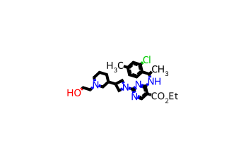 CCOC(=O)c1cnc(N2CC(C3CCCN(CCO)C3)C2)nc1NC(C)c1ccc(C)cc1Cl